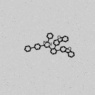 c1ccc(-c2ccc(-c3cc(-c4cccc(-c5ccc6oc7ccccc7c6c5)c4-c4ccc5oc6ccccc6c5c4)nc(-c4ccccc4)n3)cc2)cc1